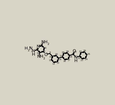 NNc1nc(N)cc(OCc2cccc(-c3ccc(C(=O)Nc4ccccc4)cc3)c2)c1N